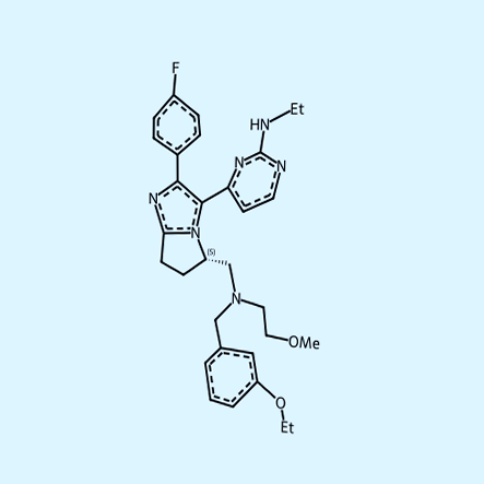 CCNc1nccc(-c2c(-c3ccc(F)cc3)nc3n2[C@H](CN(CCOC)Cc2cccc(OCC)c2)CC3)n1